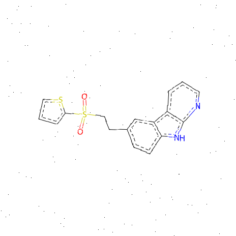 O=S(=O)(CCc1ccc2[nH]c3ncccc3c2c1)c1cccs1